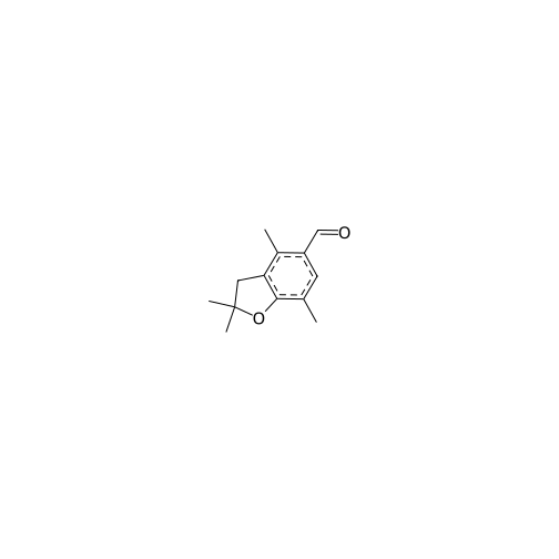 Cc1cc(C=O)c(C)c2c1OC(C)(C)C2